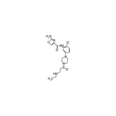 CCNCC[S+]([O-])N1CCN(c2ccc(Cl)c(NC(=O)c3coc(N)n3)c2)CC1